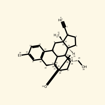 C#CC1CC[C@H]2[C@H]3C4C(C[C@]12C)c1ccc(CC)cc1C[C@@]41C=CC(=O)CC1C[C@H]3CO